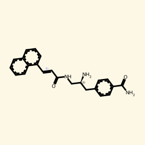 NC(=O)c1ccc(C[C@H](N)CNC(=O)/C=C/c2cccc3ccccc23)cc1